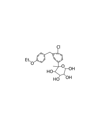 CCOc1ccc(Cc2cc(C3(C)OC(O)C(O)C(O)C3O)ccc2Cl)cc1